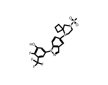 CS(=O)(=O)N1CCN(c2ccc3c(cnn3-c3cc(O)c(F)c(C(F)(F)F)c3)c2)C2(CCC2)C1